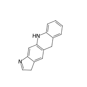 C1=Nc2cc3c(cc2C1)Cc1ccccc1N3